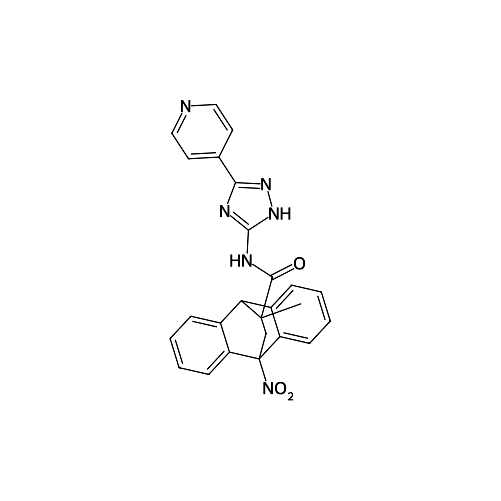 CC1(C(=O)Nc2nc(-c3ccncc3)n[nH]2)CC2([N+](=O)[O-])c3ccccc3C1c1ccccc12